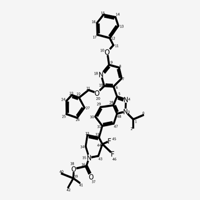 CC(C)n1nc(-c2ccc(OCc3ccccc3)nc2OCc2ccccc2)c2ccc(C3=CCN(C(=O)OC(C)(C)C)CC3(F)F)cc21